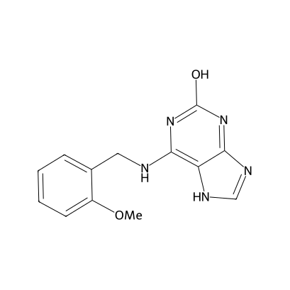 COc1ccccc1CNc1nc(O)nc2nc[nH]c12